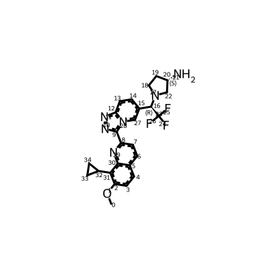 COc1ccc2ccc(-c3nnc4ccc([C@@H](N5CC[C@H](N)C5)C(F)(F)F)cn34)nc2c1C1CC1